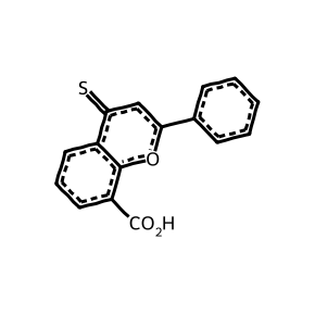 O=C(O)c1cccc2c(=S)cc(-c3ccccc3)oc12